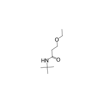 CCOCCC(=O)NC(C)(C)C